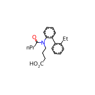 CCCC(=O)N(CCCC(=O)O)c1ccccc1-c1ccccc1CC